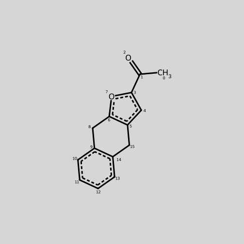 CC(=O)c1cc2c(o1)Cc1ccccc1C2